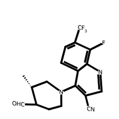 C[C@@H]1CN(c2c(C#N)cnc3c(F)c(C(F)(F)F)ccc23)CCC1C=O